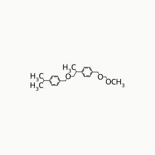 COCOCc1ccc(C(C)COCc2ccc(C(C)C)cc2)cc1